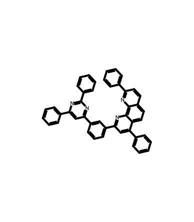 c1ccc(-c2cc(-c3cccc(-c4cc(-c5ccccc5)c5ccc6ccc(-c7ccccc7)nc6c5n4)c3)nc(-c3ccccc3)n2)cc1